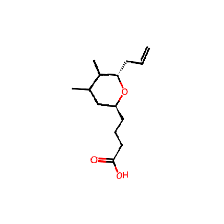 C=CC[C@@H]1O[C@@H](CCCC(=O)O)CC(C)C1C